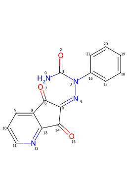 NC(=O)N(/N=c1\c(=O)c2cccnc2c1=O)c1ccccc1